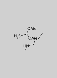 CCCCNC.COC([SiH3])OC